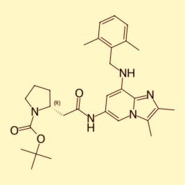 Cc1cccc(C)c1CNc1cc(NC(=O)C[C@H]2CCCN2C(=O)OC(C)(C)C)cn2c(C)c(C)nc12